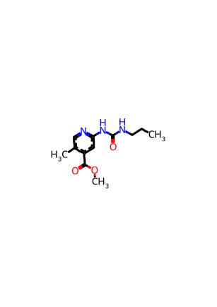 CCCNC(=O)Nc1cc(C(=O)OC)c(C)cn1